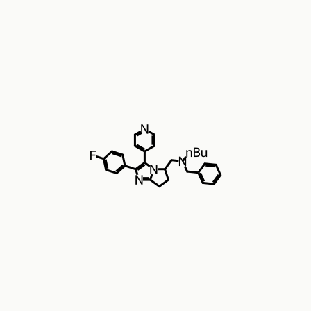 CCCCN(Cc1ccccc1)CC1CCc2nc(-c3ccc(F)cc3)c(-c3ccncc3)n21